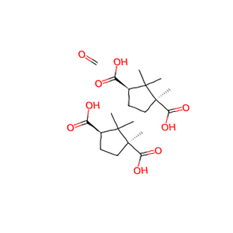 C=O.CC1(C)[C@H](C(=O)O)CC[C@]1(C)C(=O)O.CC1(C)[C@H](C(=O)O)CC[C@]1(C)C(=O)O